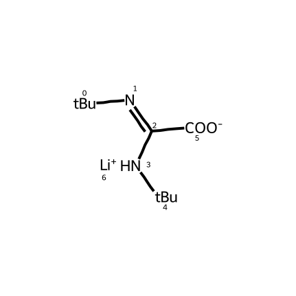 CC(C)(C)N=C(NC(C)(C)C)C(=O)[O-].[Li+]